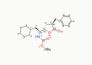 CC(C)(C)OC(=O)N[C@@H](CC1CCCCC1)[C@@H]1C[C@@H](Cc2ccccc2)C(=O)O1